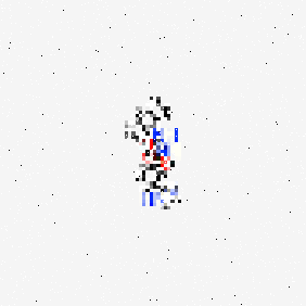 O=C(Nc1c2c(cc3c1CCC3)CCC2)NS(=O)(=O)c1cccc(C2=NCCN2)c1